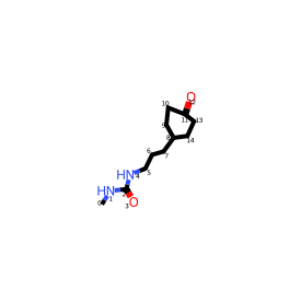 CNC(=O)NCCCC1CCC(=O)CC1